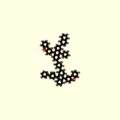 c1ccc(-c2ccc(-c3c4ccccc4c(-c4ccc5oc6ccccc6c5c4)c4ccc(-c5ccc(-c6ccc7c(-c8ccc9oc%10ccccc%10c9c8)c8ccc(-c9ccc%10ccccc%10c9)cc8c(-c8ccccc8)c7c6)cc5)cc34)cc2)cc1